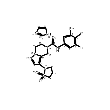 O=C(Nc1cc(F)c(F)c(F)c1)N1Cc2c(N3CCCS3(=O)=O)cnn2C[C@@H]1c1ncc[nH]1